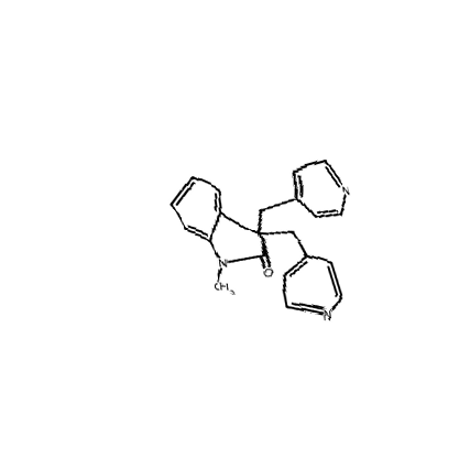 CN1C(=O)C(Cc2ccncc2)(Cc2ccncc2)c2ccccc21